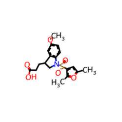 COc1ccc2c(c1)C(CCC(=O)O)CN2S(=O)(=O)c1cc(C)oc1C